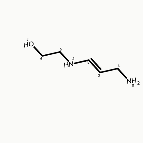 NCC=CNCCO